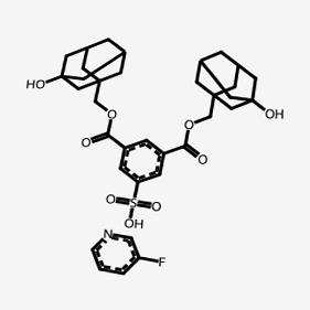 Fc1cccnc1.O=C(OCC12CC3CC(CC(O)(C3)C1)C2)c1cc(C(=O)OCC23CC4CC(CC(O)(C4)C2)C3)cc(S(=O)(=O)O)c1